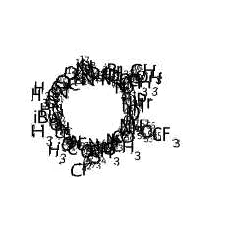 CC[C@H](C)[C@@H]1NC(=O)[C@H](C)N(C)C(=O)C[C@@H](C(=O)N2CCCC2)NC(=O)[C@H](CC(C)C)N(C)C(=O)[C@H](COCC(C)(C)O)N(C)C(=O)[C@H](CC(C)C)NC(=O)[C@H](CCc2ccc(C(F)(F)F)cc2)NC(=O)CN(C)C(=O)[C@H](Cc2ccc(Cl)cc2)N(C)C(=O)CN(C)C(=O)CN(C)C1=O